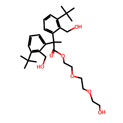 CC(C)(C)c1cccc(C(C)(C(=O)OCCOCCOCCO)c2cccc(C(C)(C)C)c2CO)c1CO